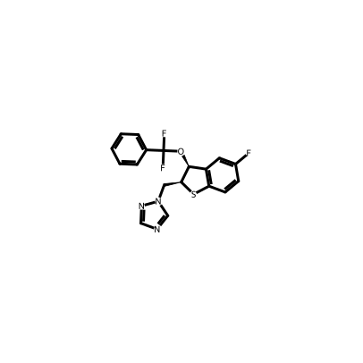 Fc1ccc2c(c1)[C@H](OC(F)(F)c1ccccc1)[C@H](Cn1cncn1)S2